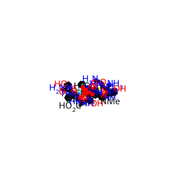 CCCC[C@@H](C(=O)N1C[C@H](O)C[C@@H]1C(=O)N[C@@H](CC(=O)O)C(=O)N[C@H](C(=O)N(C)C(Cc1ccccc1)C(=O)N[C@@H](CCC(N)=O)C(=O)N1CC[C@@H](O)C1)C(C)C)N(C)C(=O)[C@H](Cc1ccccc1)N(C)C(=O)[C@H](Cc1cc(F)c(F)c(F)c1)NC(=O)CSC[C@H](NC(=O)[C@H](CCN)NC(=O)[C@H](Cc1ccc(O)cc1)NC(=O)[C@H](Cc1c[nH]c2ccccc12)NC)C(=O)NCC(N)=O